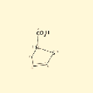 O=C(O)N1CC=CS1